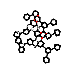 c1ccc(-c2ccc(N3c4cc5c(cc4B4c6ccc(-n7c8ccccc8c8ccccc87)cc6Sc6cc(-c7cc(-c8ccccc8)cc(-c8ccccc8)c7)cc3c64)B3c4ccc(-c6ccccc6)cc4Sc4cc(-c6ccccc6-c6ccccc6)cc(c43)N5c3c(-c4ccccc4)cc(-c4ccccc4)cc3-c3ccccc3)cc2)cc1